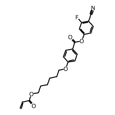 C=CC(=O)OCCCCCCOc1ccc(C(=O)Oc2ccc(C#N)c(F)c2)cc1